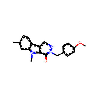 COc1ccc(Cn2ncc3c4ccc(C)cc4n(C)c3c2=O)cc1